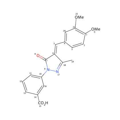 COc1ccc(/C=C2/C(=O)N(c3cccc(C(=O)O)c3)N=C2C)cc1OC